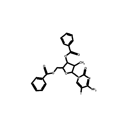 CC1C(OC(=O)c2ccccc2)C(COC(=O)c2ccccc2)OC1n1cc(I)c(N)nc1=O